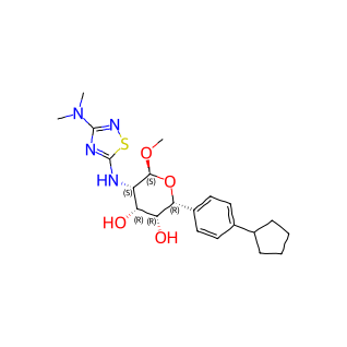 CO[C@H]1O[C@H](c2ccc(C3CCCC3)cc2)[C@H](O)[C@H](O)[C@@H]1Nc1nc(N(C)C)ns1